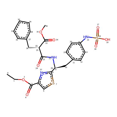 CCOC(=O)c1csc([C@H](Cc2ccc(NS(=O)(=O)O)cc2)NC(=O)[C@H](Cc2ccccc2)C(=O)OC)n1